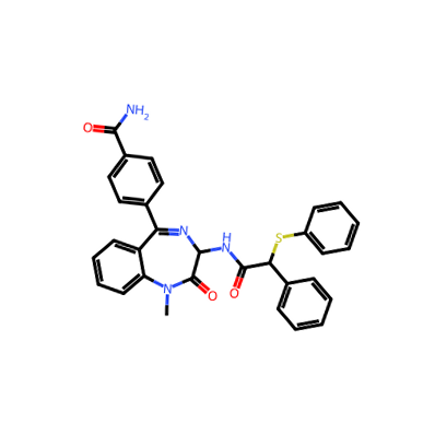 CN1C(=O)C(NC(=O)C(Sc2ccccc2)c2ccccc2)N=C(c2ccc(C(N)=O)cc2)c2ccccc21